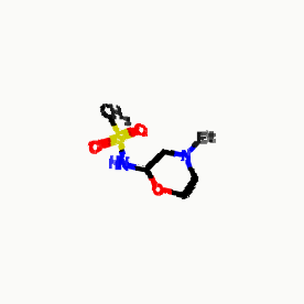 CCN1CCOC(NS(C)(=O)=O)C1